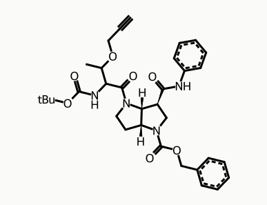 C#CCOC(C)C(NC(=O)OC(C)(C)C)C(=O)N1CC[C@@H]2[C@H]1[C@@H](C(=O)Nc1ccccc1)CN2C(=O)OCc1ccccc1